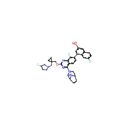 Oc1cc(-c2ccc3c(N4CC5CCC(C4)N5)nc(OCC4(CN5CCC(F)C5)CC4)nc3c2F)c2cc(F)ccc2c1